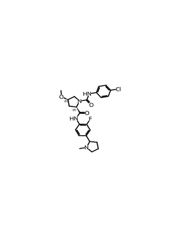 CO[C@@H]1C[C@H](C(=O)Nc2ccc(C3CCCN3C)cc2F)N(C(=O)Nc2ccc(Cl)cc2)C1